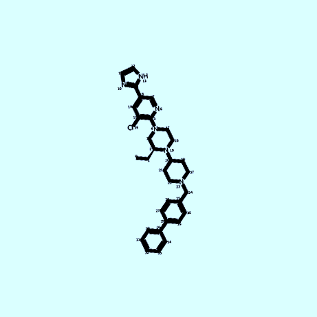 CC[C@H]1CN(c2ncc(-c3ncc[nH]3)cc2Cl)CCN1C1CCN(Cc2ccc(-c3ccccc3)cc2)CC1